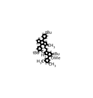 COc1c(C(C)(C)C)cc2c(c1-c1cc(C)cc(C)c1)C=C(C)C2CCC1C(C)=Cc2c(-c3ccc(C(C)(C)C)cc3)c3c(c(-c4ccc(C(C)(C)C)cc4)c21)CCC3